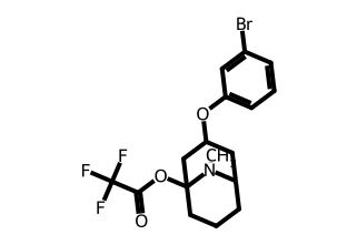 CN1C2CCCC1(OC(=O)C(F)(F)F)CC(Oc1cccc(Br)c1)C2